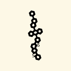 c1ccc(-c2ccc3cc(-c4c5ccccc5c(-c5ccc6sc7c8cc9c(cc8ccc7c6c5)sc5ccccc59)c5ccccc45)ccc3c2)cc1